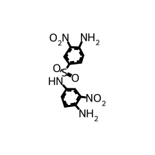 Nc1ccc(NS(=O)(=O)c2ccc(N)c([N+](=O)[O-])c2)cc1[N+](=O)[O-]